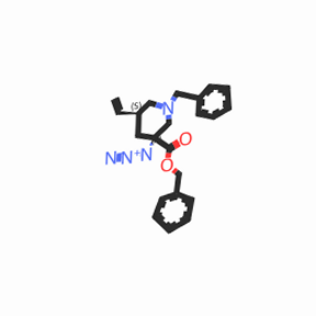 C=C[C@H]1CN(Cc2ccccc2)C[C@@](N=[N+]=[N-])(C(=O)OCc2ccccc2)C1